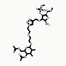 B[C@@H]1O[C@H](COC)[C@H](OP(=O)(O)OC)C1OCc1cn(CCOCCOC2OC(COC(C)=O)C(OC(C)=O)C(C)C2C)nn1